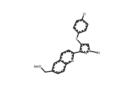 CCn1cc(Sc2ccc(Cl)cc2)c(-c2ccc3cc(COC)ccc3n2)n1